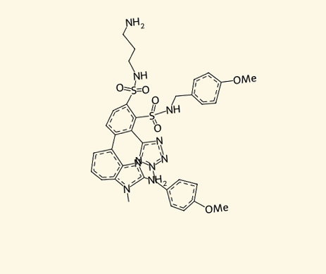 COc1ccc(CNS(=O)(=O)c2c(S(=O)(=O)NCCCN)ccc(-c3cccc4c3nc(N)n4C)c2-c2nnn(Cc3ccc(OC)cc3)n2)cc1